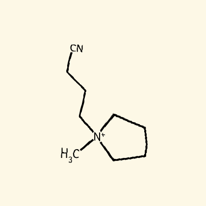 C[N+]1(CCCC#N)CCCC1